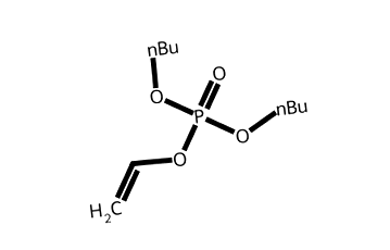 C=COP(=O)(OCCCC)OCCCC